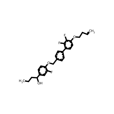 C=CCCOc1ccc(-c2ccc(COc3ccc(C(O)CCC)cc3F)cc2)c(F)c1F